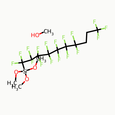 CO.CO[Si](OC)(OC)C(F)(F)C(F)(F)C(F)(F)C(F)(F)C(F)(F)C(F)(F)C(F)(F)CCC(F)(F)F